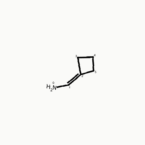 NC=C1CCC1